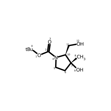 CC(C)(C)OC(=O)N1CC[C@@](C)(O)[C@@H]1CO